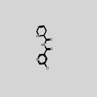 O=C(NC(=O)C1CC=CCN1)c1cncc(Cl)c1